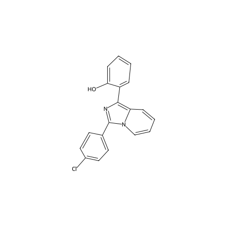 Oc1ccccc1-c1nc(-c2ccc(Cl)cc2)n2ccccc12